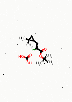 CC(C)(C)OC(=O)C(F)=CC1CC1(C)C.O=C(O)O